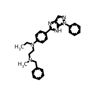 CCN(CCN(C)Cc1ccccc1)c1ccc(-c2nc3cnn(-c4ccccc4)c3[nH]2)cc1